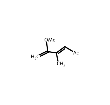 C=C(OC)C(C)=CC(C)=O